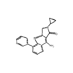 Nc1c2c(nc3c(-c4cccnc4)cccc13)CN(C1CC1)C2=O